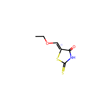 CCO/C=C1\SC(=S)NC1=O